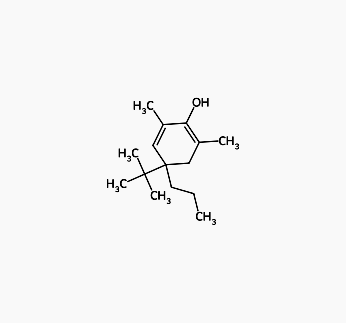 CCCC1(C(C)(C)C)C=C(C)C(O)=C(C)C1